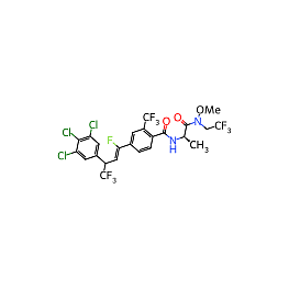 CON(CC(F)(F)F)C(=O)[C@@H](C)NC(=O)c1ccc(/C(F)=C/C(c2cc(Cl)c(Cl)c(Cl)c2)C(F)(F)F)cc1C(F)(F)F